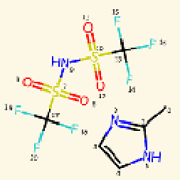 Cc1ncc[nH]1.O=S(=O)(NS(=O)(=O)C(F)(F)F)C(F)(F)F